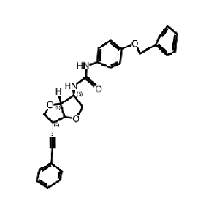 O=C(Nc1ccc(OCc2ccccc2)cc1)N[C@H]1COC2[C@H](C#Cc3ccccc3)CO[C@@H]21